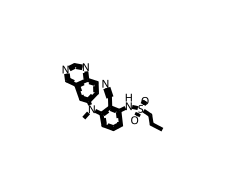 CCCS(=O)(=O)Nc1cccc(N(C)c2ccc3ncncc3c2)c1C#N